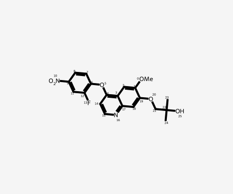 COc1cc2c(Oc3ccc([N+](=O)[O-])cc3F)ccnc2cc1OCC(C)(C)O